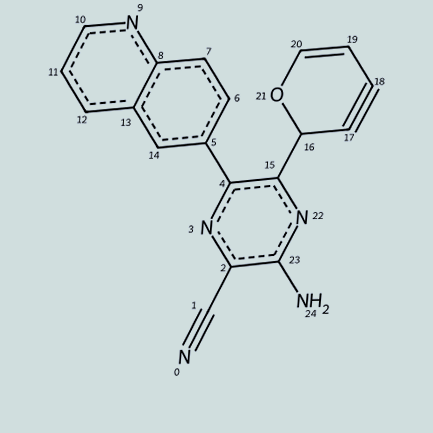 N#Cc1nc(-c2ccc3ncccc3c2)c(C2C#CC=CO2)nc1N